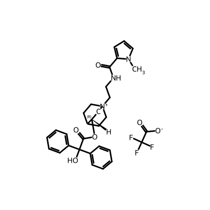 Cn1cccc1C(=O)NCC[N+]12CCC(CC1)[C@@H](OC(=O)C(O)(c1ccccc1)c1ccccc1)C2.O=C([O-])C(F)(F)F